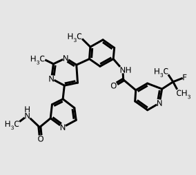 CNC(=O)c1cc(-c2cc(-c3cc(NC(=O)c4ccnc(C(C)(C)F)c4)ccc3C)nc(C)n2)ccn1